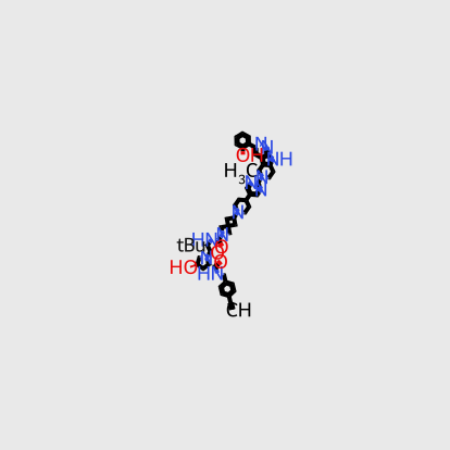 C#Cc1ccc(CNC(=O)[C@@H]2C[C@@H](O)CN2C(=O)[C@@H](NC(=O)N2CC3(CC(N4CCC(c5cnc(N6CCc7[nH]c8nnc(-c9ccccc9O)cc8c7[C@@H]6C)nc5)CC4)C3)C2)C(C)(C)C)cc1